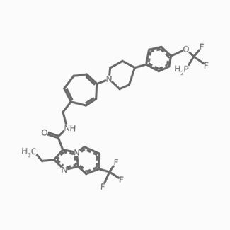 CCc1nc2cc(C(F)(F)F)ccn2c1C(=O)NCC1=CCC=C(N2CCC(c3ccc(OC(F)(F)P)cc3)CC2)C=C1